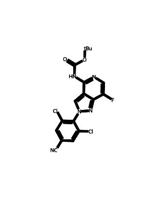 CC(C)(C)OC(=O)Nc1ncc(F)c2nn(-c3c(Cl)cc(C#N)cc3Cl)cc12